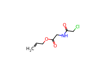 C=CCOC(=O)CNC(=O)CCl